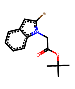 CC(C)(C)OC(=O)Cn1c(Br)cc2ccccc21